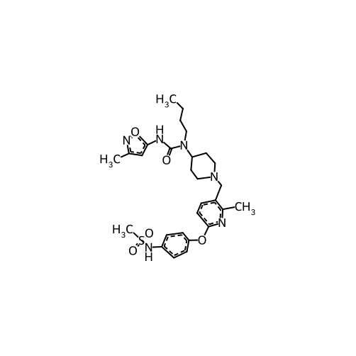 CCCCN(C(=O)Nc1cc(C)no1)C1CCN(Cc2ccc(Oc3ccc(NS(C)(=O)=O)cc3)nc2C)CC1